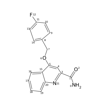 NC(=O)c1cc(OCc2ccc(F)cc2)c2ccccc2n1